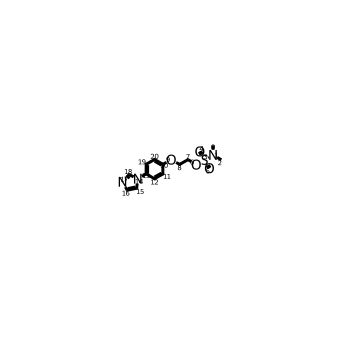 CN(C)S(=O)(=O)OCCOc1ccc(-n2ccnc2)cc1